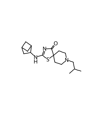 CC(C)CN1CCC2(CC1)SC(NC1CC3CC1C3)=NC2=O